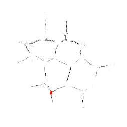 BBB(B(B)B)B(B(B(B)B)B(B)B)P(B(B(B)B)B(B)B)B(B(B)B)B(B)B